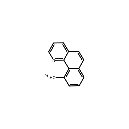 Oc1cccc2ccc3cccnc3c12.[Pt]